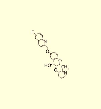 Cc1ncccc1O[C@@H]1COc2ccc(OCc3ccc4cc(F)ccc4n3)cc2[C@@H]1O